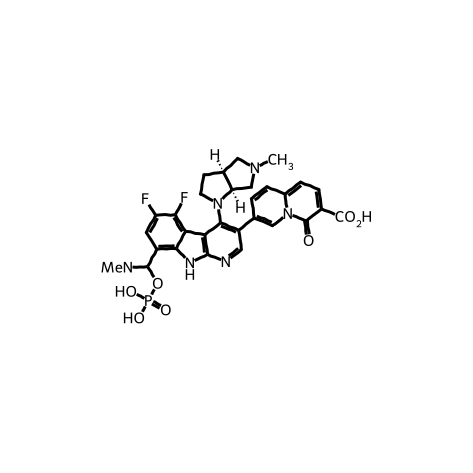 CNC(OP(=O)(O)O)c1cc(F)c(F)c2c1[nH]c1ncc(-c3ccc4ccc(C(=O)O)c(=O)n4c3)c(N3CC[C@H]4CN(C)C[C@H]43)c12